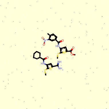 COC(=O)c1cc(NC(=O)c2ccc(C)c([N+](=O)[O-])c2)c(SC)s1.CSc1sc(C(=N)N)cc1NC(=O)C1CCCCC1